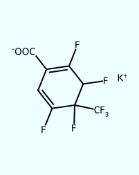 O=C([O-])C1=C(F)C(F)C(F)(C(F)(F)F)C(F)=C1.[K+]